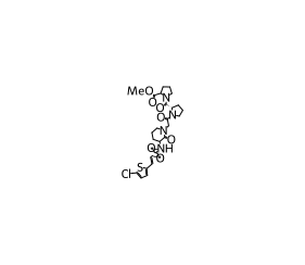 COC(=O)C1CCCN1C(=O)[C@@H]1CCCN1C(=O)CN1CCC[C@H](NS(=O)(=O)/C=C/c2ccc(Cl)s2)C1=O